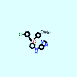 COc1ccc(CO[C@]2(C#Cc3cccc(Cl)c3)CCC[C@@H](Nc3ccc4nccnc4c3)C2)cc1